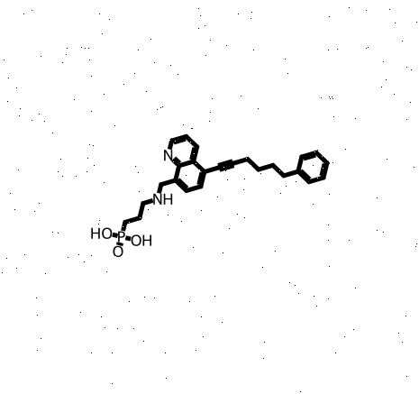 O=P(O)(O)CCCNCc1ccc(C#CCCCCc2ccccc2)c2cccnc12